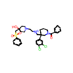 O=C(c1ccccc1)N1CCCC(CNCCN2CCC(O)(CS(=O)(=O)c3ccccc3)CC2)(c2ccc(Cl)c(Cl)c2)C1